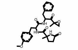 COc1ccc(CC(NC(=O)C2(C)CCC(=O)N2)C(=O)NC(Cc2ccccc2)C(=O)C2(C)CO2)cc1